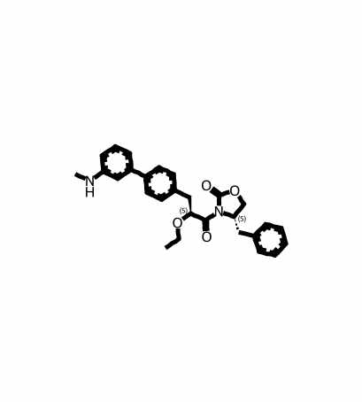 CCO[C@@H](Cc1ccc(-c2cccc(NC)c2)cc1)C(=O)N1C(=O)OC[C@@H]1Cc1ccccc1